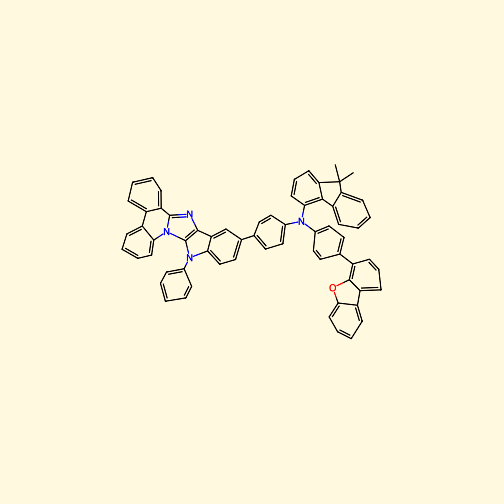 CC1(C)c2ccccc2-c2c(N(c3ccc(-c4ccc5c(c4)c4nc6c7ccccc7c7ccccc7n6c4n5-c4ccccc4)cc3)c3ccc(-c4cccc5c4oc4ccccc45)cc3)cccc21